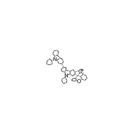 c1ccc(-n2c3ccccc3c3ccc(-c4ccc5c(c4)c4cc6c(cc4n5-c4ccccc4)C4(c5ccccc5Oc5ccccc54)c4ccccc4-6)cc32)cc1